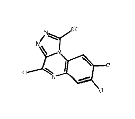 CCc1nnc2c(Cl)nc3cc(Cl)c(Cl)cc3n12